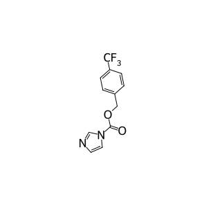 O=C(OCc1ccc(C(F)(F)F)cc1)n1ccnc1